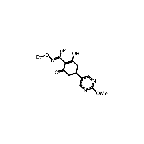 CCCC(=NOCC)C1=C(O)CC(c2cnc(OC)nc2)CC1=O